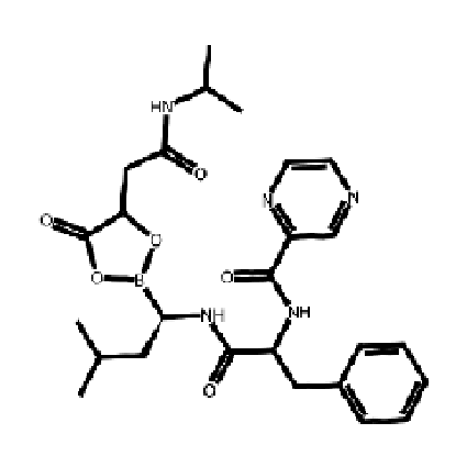 CC(C)C[C@H](NC(=O)C(Cc1ccccc1)NC(=O)c1cnccn1)B1OC(=O)C(CC(=O)NC(C)C)O1